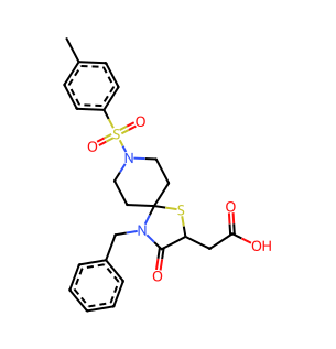 Cc1ccc(S(=O)(=O)N2CCC3(CC2)SC(CC(=O)O)C(=O)N3Cc2ccccc2)cc1